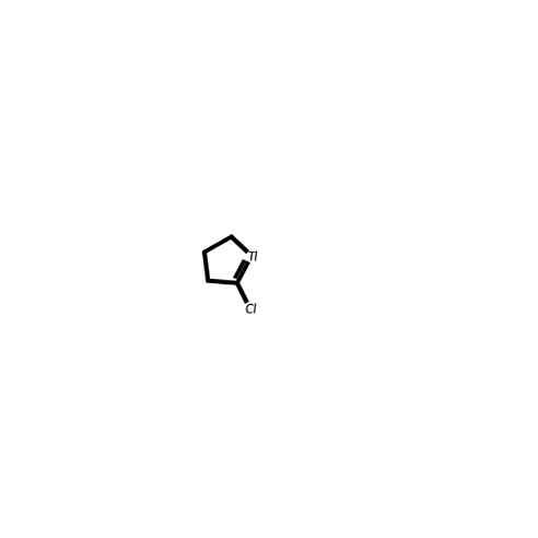 Cl[C]1=[Tl][CH2]CC1